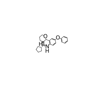 c1ccc(Oc2ccc3c(c2)C2OCCC[C@H]2[C@@H](C2CCCC2)N3)cc1